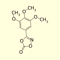 COc1cc(-c2noc(=O)o2)cc(OC)c1OC